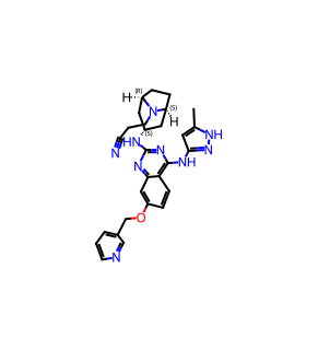 Cc1cc(Nc2nc(N[C@@H]3C[C@H]4CC[C@@H](C3)N4CCC#N)nc3cc(OCc4cccnc4)ccc23)n[nH]1